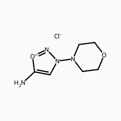 Nc1cn(N2CCOCC2)n[o+]1.[Cl-]